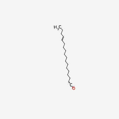 CCCC=CCCCCCCCCCCCC=C=O